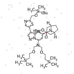 CC(C)(C)OC(=O)N1[C@@H]2CC[C@H]1C[C@H](c1cc(N(COCC[Si](C)(C)C)COCC[Si](C)(C)C)n3ncc(-c4cnc(CO[Si](C)(C)C(C)(C)C)s4)c3n1)C2